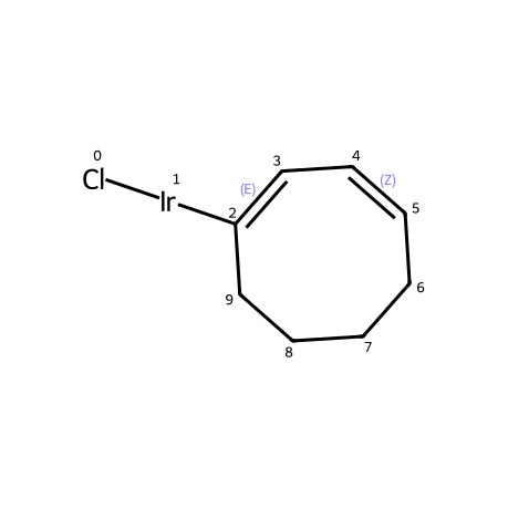 [Cl][Ir]/[C]1=C/C=C\CCCC1